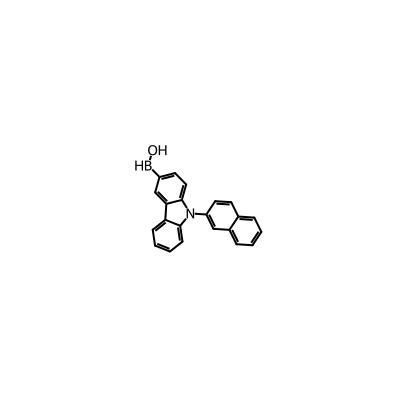 OBc1ccc2c(c1)c1ccccc1n2-c1ccc2ccccc2c1